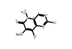 COc1c(Cl)c2nc(Cl)ncc2n(C)c1=O